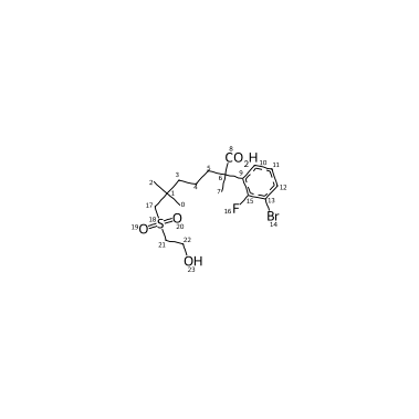 CC(C)(CCCC(C)(C(=O)O)c1cccc(Br)c1F)CS(=O)(=O)CCO